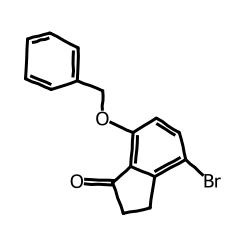 O=C1CCc2c(Br)ccc(OCc3ccccc3)c21